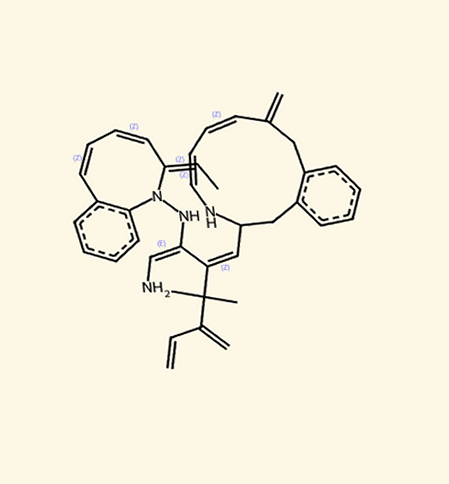 C=CC(=C)C(C)(C)C(=C/C1Cc2ccccc2CC(=C)/C=C\C=C/N1)/C(=C\N)NN1C(=C\C)/C=C\C=C/c2ccccc21